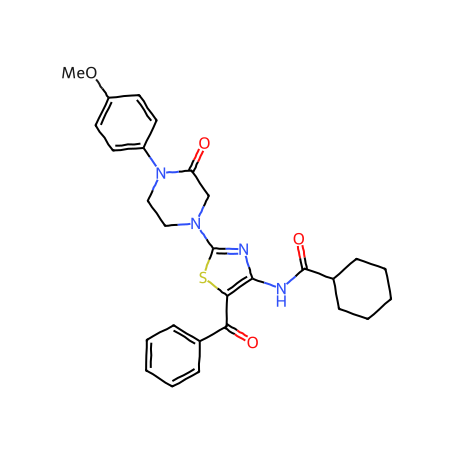 COc1ccc(N2CCN(c3nc(NC(=O)C4CCCCC4)c(C(=O)c4ccccc4)s3)CC2=O)cc1